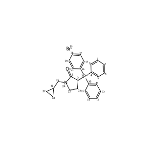 O=C1C([P+](c2ccccc2)(c2ccccc2)c2ccccc2)CCN1CC1CC1.[Br-]